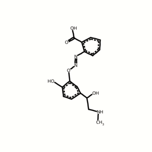 CNCC(O)c1ccc(O)c(ON=Nc2ccccc2C(=O)O)c1